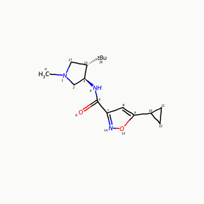 CN1C[C@H](NC(=O)c2cc(C3CC3)on2)[C@@H](C(C)(C)C)C1